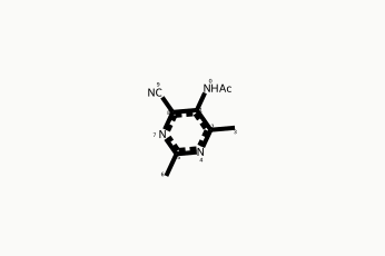 CC(=O)Nc1c(C)nc(C)nc1C#N